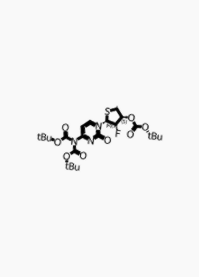 CC(C)(C)OC(=O)O[C@@H]1[CH]S[C@@H](n2ccc(N(C(=O)OC(C)(C)C)C(=O)OC(C)(C)C)nc2=O)[C@H]1F